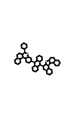 c1ccc(-c2nc3cc(-c4c5ccccc5c(-c5cc6ccccc6c6c5oc5ccc7ccccc7c56)c5ccccc45)ccc3c3c2ccc2ccccc23)cc1